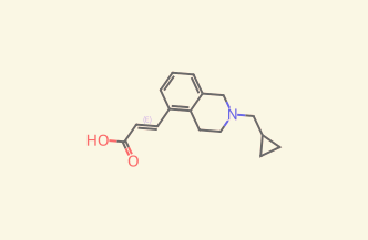 O=C(O)/C=C/c1cccc2c1CCN(CC1CC1)C2